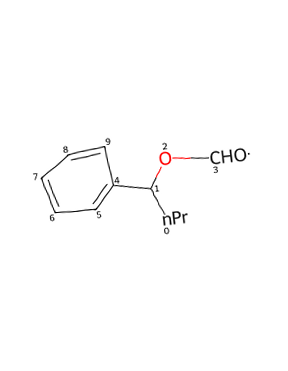 CCCC(O[C]=O)c1ccccc1